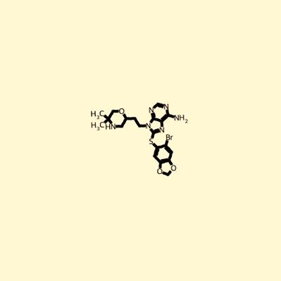 CC1(C)COC(CCn2c(Sc3cc4c(cc3Br)OCO4)nc3c(N)ncnc32)CN1